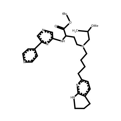 COC(C)CN(CCCCc1ccc2c(n1)NCCC2)CCC(Nc1cncc(-c2ccncc2)n1)C(=O)OC(C)(C)C